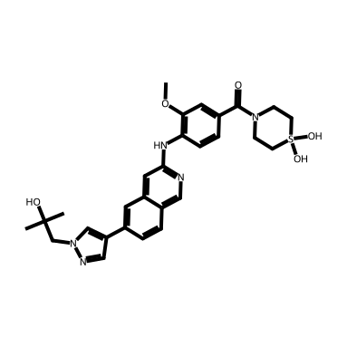 COc1cc(C(=O)N2CCS(O)(O)CC2)ccc1Nc1cc2cc(-c3cnn(CC(C)(C)O)c3)ccc2cn1